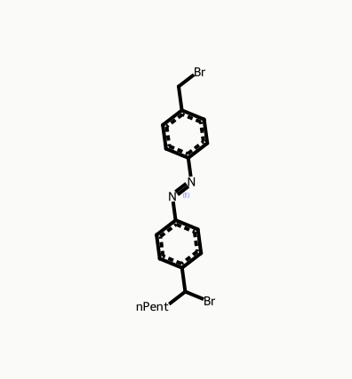 CCCCCC(Br)c1ccc(/N=N/c2ccc(CBr)cc2)cc1